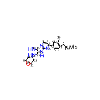 CNCc1ccc(-c2ccnc(N/C(C=N)=C/NC3CCOCC3)n2)cc1C